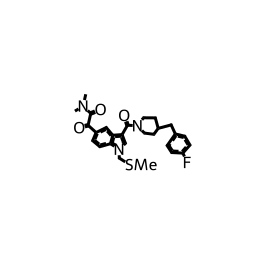 CSCn1cc(C(=O)N2CCC(Cc3ccc(F)cc3)CC2)c2cc(C(=O)C(=O)N(C)C)ccc21